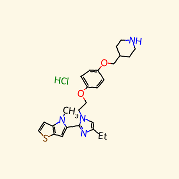 CCc1cn(CCOc2ccc(OCC3CCNCC3)cc2)c(-c2cc3sccc3n2C)n1.Cl